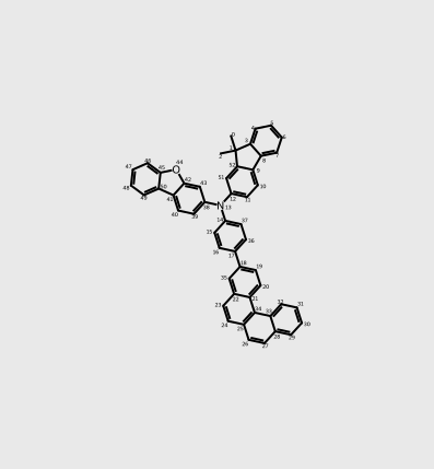 CC1(C)c2ccccc2-c2ccc(N(c3ccc(-c4ccc5c(ccc6ccc7ccccc7c65)c4)cc3)c3ccc4c(c3)oc3ccccc34)cc21